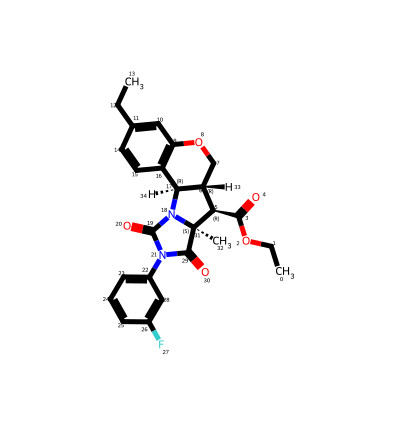 CCOC(=O)[C@@H]1[C@H]2COc3cc(CC)ccc3[C@@H]2N2C(=O)N(c3cccc(F)c3)C(=O)[C@]12C